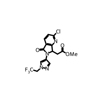 COC(=O)CC1c2nc(Cl)ccc2C(=O)N1c1cnn(CC(F)(F)F)c1